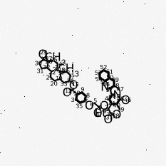 CC[C@@]1(OC(=O)COc2ccc(C(=O)O[C@@H]3CC[C@@]4(C)C(CCC5C4CC[C@]4(C)C(=O)CCC54)C3)cc2)C(=O)OCc2c1cc1n(c2=O)Cc2cc3ccccc3nc2-1